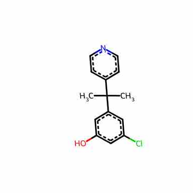 CC(C)(c1ccncc1)c1cc(O)cc(Cl)c1